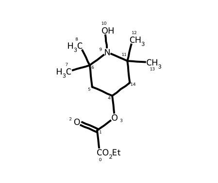 CCOC(=O)C(=O)OC1CC(C)(C)N(O)C(C)(C)C1